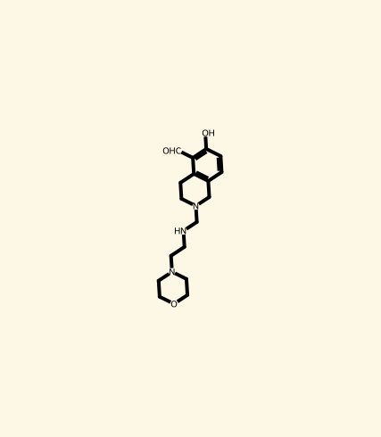 O=Cc1c(O)ccc2c1CCN(CNCCN1CCOCC1)C2